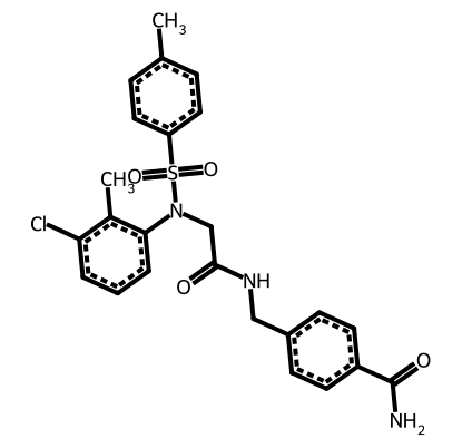 Cc1ccc(S(=O)(=O)N(CC(=O)NCc2ccc(C(N)=O)cc2)c2cccc(Cl)c2C)cc1